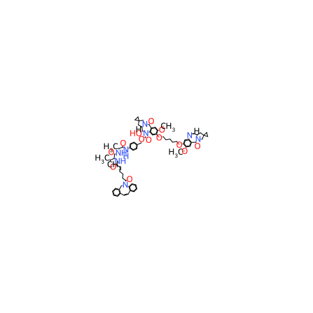 COc1cc2c(cc1OCCCCCOc1cc3c(cc1OC)C(=O)N1CC4(CC4)C[C@H]1[C@H](O)N3C(=O)OCc1ccc(NC(=O)[C@H](C)NC(=O)[C@@H](NC(=O)CCCCC(=O)N3Cc4ccccc4/C=C\c4ccccc43)C(C)C)cc1)N=C[C@@H]1CC3(CC3)CN1C2=O